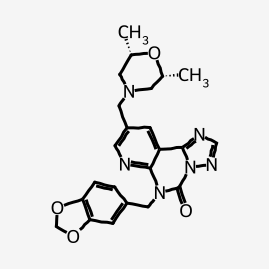 C[C@@H]1CN(Cc2cnc3c(c2)c2ncnn2c(=O)n3Cc2ccc3c(c2)OCO3)C[C@H](C)O1